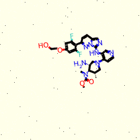 COC(=O)N(C)[C@@H]1[C@H](N)CN(c2ccncc2Nc2ncc3ccc(-c4c(F)cc(OCCO)cc4F)nn23)C[C@@H]1C